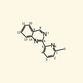 Cc1cccc(-c2ncc3ccccc3n2)n1